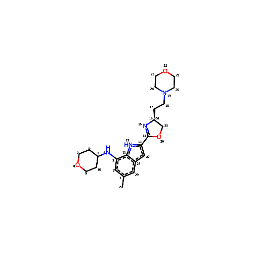 Cc1cc(NC2CCOCC2)c2[nH]c(C3=N[C@@H](CCN4CCOCC4)CO3)cc2c1